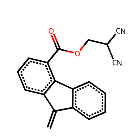 C=C1c2ccccc2-c2c1cccc2C(=O)OCC(C#N)C#N